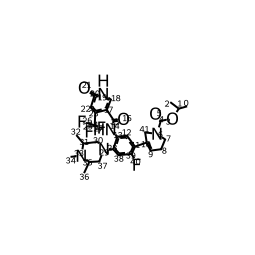 CC(C)OC(=O)N1CCC=C(c2cc(NC(=O)c3c[nH]c(=O)cc3C(F)(F)F)c(N3CC(C)N(C)C(C)C3)cc2F)C1